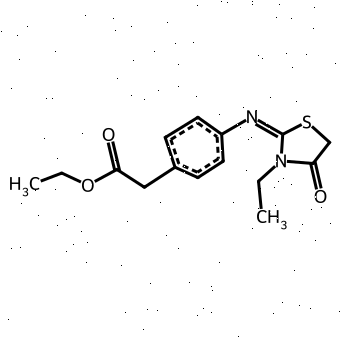 CCOC(=O)Cc1ccc(N=C2SCC(=O)N2CC)cc1